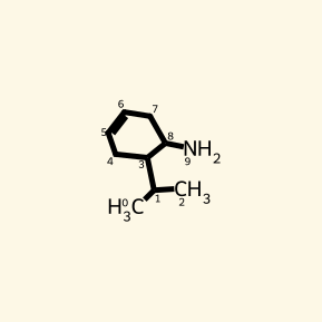 CC(C)C1CC=CCC1N